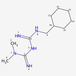 CN(C)C(=N)NC(=N)NCC1CCCCC1